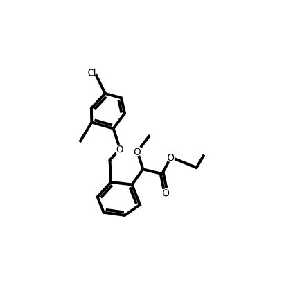 CCOC(=O)C(OC)c1ccccc1COc1ccc(Cl)cc1C